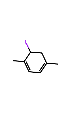 CC1=CC=C(C)C(I)C1